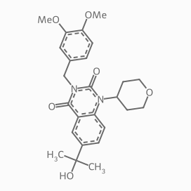 COc1ccc(Cn2c(=O)c3cc(C(C)(C)O)ccc3n(C3CCOCC3)c2=O)cc1OC